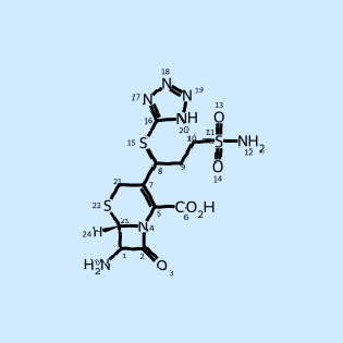 NC1C(=O)N2C(C(=O)O)=C(C(CCS(N)(=O)=O)Sc3nnn[nH]3)CS[C@@H]12